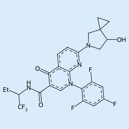 CCC(NC(=O)c1cn(-c2c(F)cc(F)cc2F)c2nc(N3CC(O)C4(CC4)C3)ccc2c1=O)C(F)(F)F